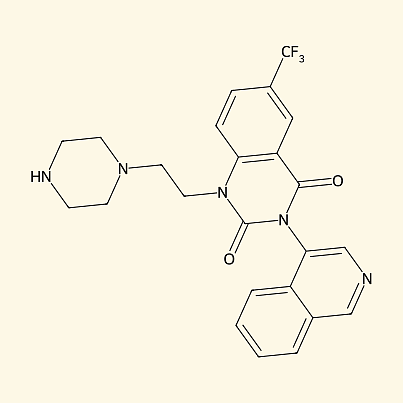 O=c1c2cc(C(F)(F)F)ccc2n(CCN2CCNCC2)c(=O)n1-c1cncc2ccccc12